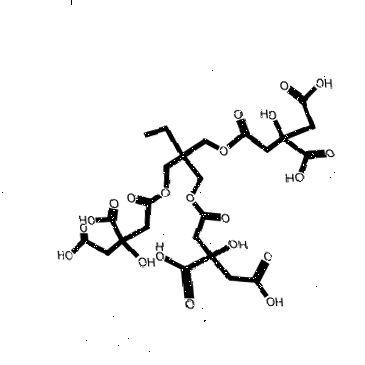 CCC(COC(=O)CC(O)(CC(=O)O)C(=O)O)(COC(=O)CC(O)(CC(=O)O)C(=O)O)COC(=O)CC(O)(CC(=O)O)C(=O)O